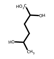 CC(O)CCC(O)C(=O)O